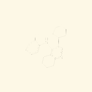 O=C(O)c1ccccc1Nc1c(C2CCOCC2)cnc2c1CCCC2